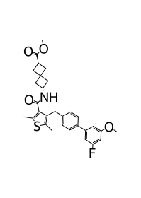 COc1cc(F)cc(-c2ccc(Cc3c(C)sc(C)c3C(=O)N[C@H]3CC4(C3)C[C@H](C(=O)OC)C4)cc2)c1